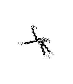 CCCCCCCCC1(CCCCCCCC)C[CH2][Sn]([O]C)([O]C)[Sn]([CH2]CCCCCCC)([CH2]CCCCCCC)[O]1